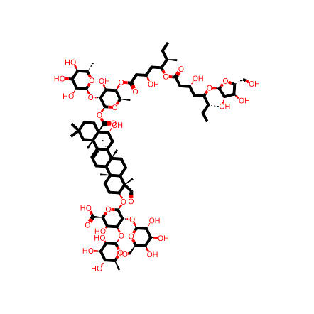 CC[C@@H](C)C(C[C@@H](O)CC(=O)O[C@@H]1[C@H](O)[C@@H](O[C@@H]2O[C@@H](C)[C@H](O)C(O)[C@H]2O)[C@H](OC(=O)[C@]23CCC(C)(C)C[C@@]2(C)C2=CCC4[C@@]5(C)CC[C@H](O[C@@H]6O[C@H](C(=O)O)[C@@H](O)[C@H](O[C@@H]7O[C@@H](C)[C@H](O)[C@@H](O)[C@H]7O)[C@H]6O[C@@H]6O[C@H](CO)[C@H](O)[C@H](O)[C@H]6O)[C@@](C)(C=O)C5CC[C@@]4(C)[C@]2(C)C[C@H]3O)O[C@@H]1C)OC(=O)C[C@H](O)CC(O[C@H]1O[C@H](CO)[C@@H](O)[C@@H]1O)[C@H](C)CC